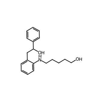 OCCCCCNc1ccccc1CC(O)c1ccccc1